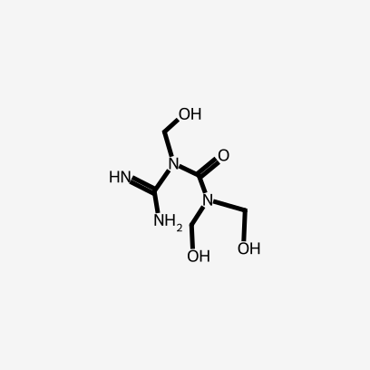 N=C(N)N(CO)C(=O)N(CO)CO